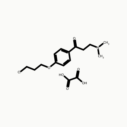 CN(C)CCC(=O)c1ccc(OCCCCl)cc1.O=C(O)C(=O)O